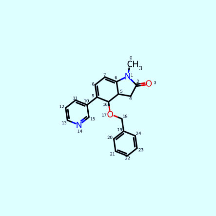 CN1C(=O)CC2C1=CC=C(c1cccnc1)C2OCc1ccccc1